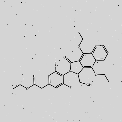 CCOC(=O)Cc1cc(F)c(N2C(=O)c3c(c(OCC)c4ccccc4c3OCC)C2CO)c(F)c1